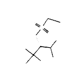 CCS(=O)(=O)C[C@H](C(C)C)C(C)(C)C